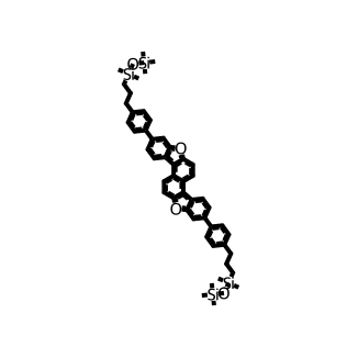 C[Si](C)(C)O[Si](C)(C)CCCc1ccc(-c2ccc3c(c2)oc2ccc4c(ccc5oc6cc(-c7ccc(CCC[Si](C)(C)O[Si](C)(C)C)cc7)ccc6c54)c23)cc1